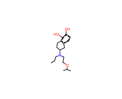 CCCN(CCOC(C)C)[C@H]1CCc2c(ccc(O)c2O)C1